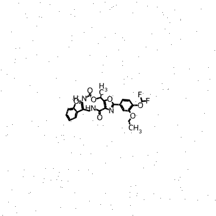 CCOc1cc(-c2nc(C(=O)NCc3coc4ccccc34)c([C@H](C)OC(N)=O)o2)ccc1OC(F)F